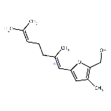 CC(C)=CCC/C(C)=C/c1cc(C)c(CO)o1